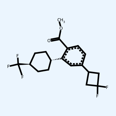 COC(=O)c1ccc(C2CC(F)(F)C2)cc1[C@H]1CC[C@H](C(F)(F)F)CC1